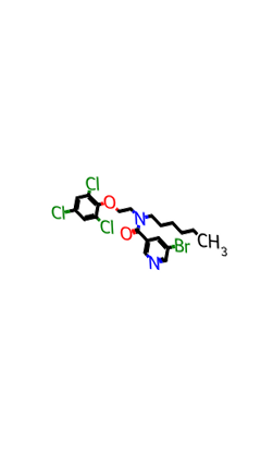 CCCCCCN(CCOc1c(Cl)cc(Cl)cc1Cl)C(=O)c1cncc(Br)c1